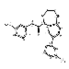 COc1cc(NC(=O)N2CCCNc3ccc(-c4cncc(C(F)(F)F)c4)nc32)ncn1